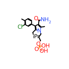 Cc1ccc(-c2c(C(N)=O)c(C)n(CCCOP(=O)(O)O)c2CC(C)C)cc1Cl